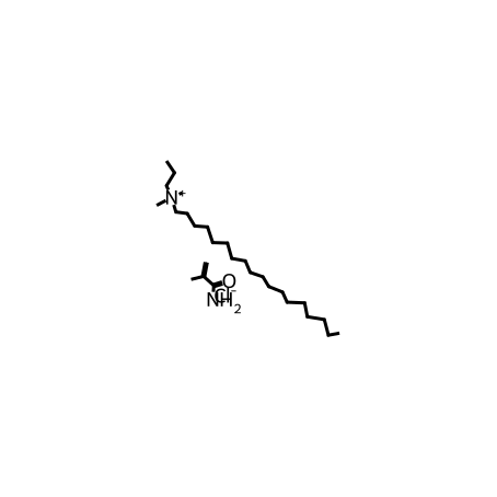 C=C(C)C(N)=O.CCCCCCCCCCCCCCCCCC[N+](C)(C)CCC.[Cl-]